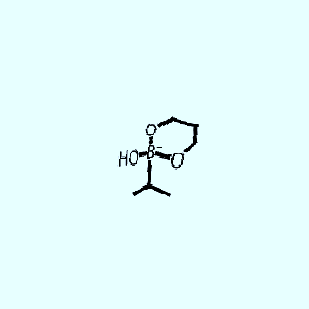 CC(C)[B-]1(O)OCCCO1